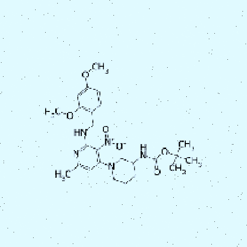 COc1ccc(CNc2nc(C)cc(N3CCCC(NC(=O)OC(C)(C)C)C3)c2[N+](=O)[O-])c(OC)c1